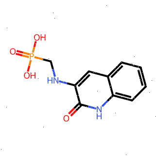 O=c1[nH]c2ccccc2cc1NCP(=O)(O)O